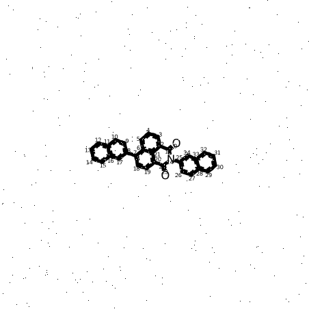 O=C1c2cccc3c(-c4ccc5ccccc5c4)ccc(c23)C(=O)N1c1ccc2ccccc2c1